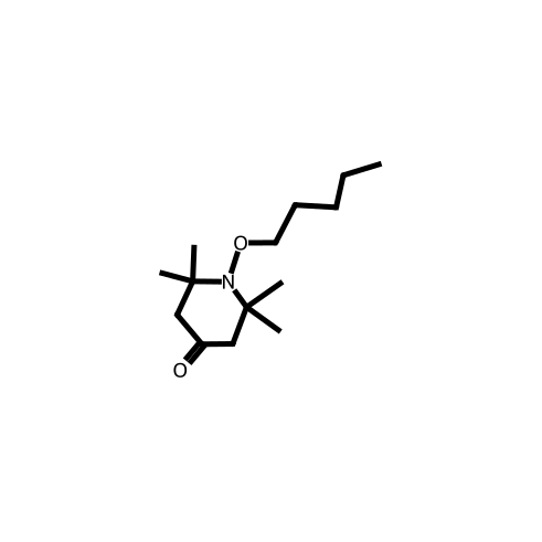 CCCCCON1C(C)(C)CC(=O)CC1(C)C